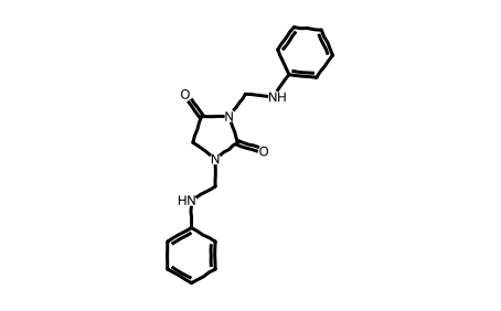 O=C1CN(CNc2ccccc2)C(=O)N1CNc1ccccc1